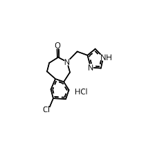 Cl.O=C1CCc2cc(Cl)ccc2CN1Cc1c[nH]cn1